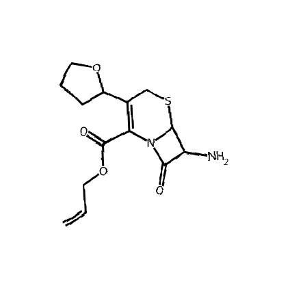 C=CCOC(=O)C1=C(C2CCCO2)CSC2C(N)C(=O)N12